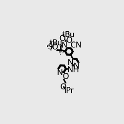 CC(C)OCCOc1ncccc1Nc1nccc(-c2cc(C#N)c3c(c2)[C@@](C)(CO[Si](C)(C)C(C)(C)C)CN3C(=O)OC(C)(C)C)n1